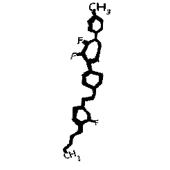 CCCCCC1CCC(CCC2CCC(C3CCC(C4CCC(C)CC4)C(F)C3F)CC2)CC1F